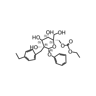 CCOC(=O)OC[C@]1(CO)O[C@@H](Oc2ccccc2)[C@@](O)(Cc2ccc(CC)cc2)[C@@H](O)[C@@H]1O